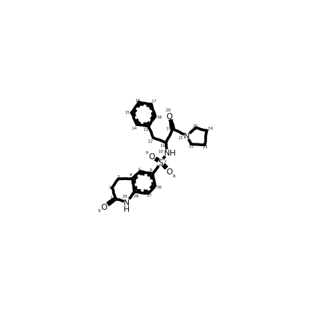 O=C1CCc2cc(S(=O)(=O)NC(Cc3ccccc3)C(=O)N3CCCC3)ccc2N1